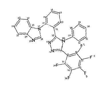 Fc1c(F)c(F)c(-c2nnc(-c3ccccc3-n3cnc4ccccc43)n2-c2ccccc2)c(F)c1F